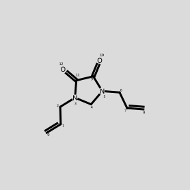 C=CCN1CN(CC=C)C(=O)C1=O